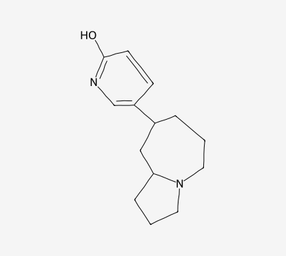 Oc1ccc(C2CCCN3CCCC3C2)cn1